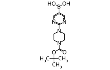 CC(C)(C)OC(=O)N1CCN(c2ncc(B(O)O)cn2)CC1